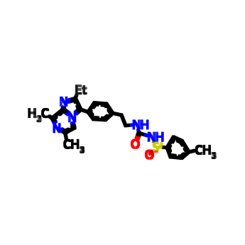 CCc1nc2c(C)nc(C)cn2c1-c1ccc(CCNC(=O)N[S+]([O-])c2ccc(C)cc2)cc1